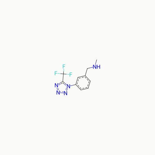 CNCc1cccc(-n2nnnc2C(F)(F)F)c1